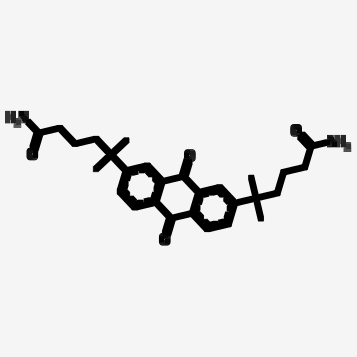 CC(C)(CCCC(N)=O)c1ccc2c(c1)C(=O)c1cc(C(C)(C)CCCC(N)=O)ccc1C2=O